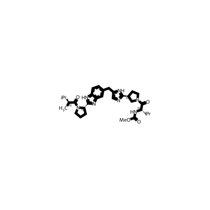 COC(=O)N[C@H](C(=O)N1CC[C@H](c2ncc(Cc3ccc4[nH]c([C@@H]5CCCN5C(=O)[C@@H](C)C(C)C)nc4c3)[nH]2)C1)C(C)C